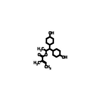 CC=C(C)C(=O)OC(C)C(C1CCC(O)CC1)C1CCC(O)CC1